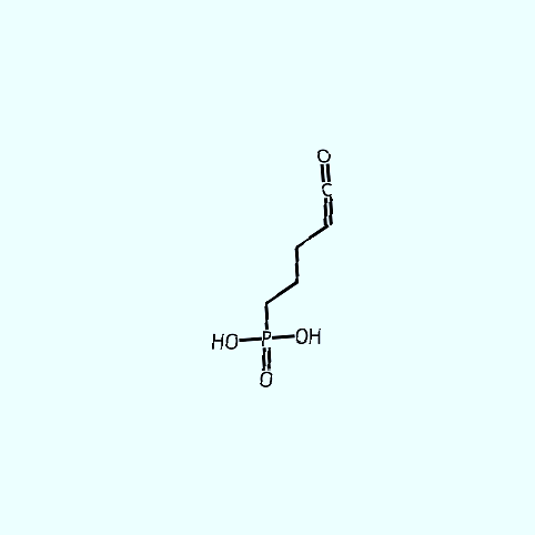 O=C=CCCCP(=O)(O)O